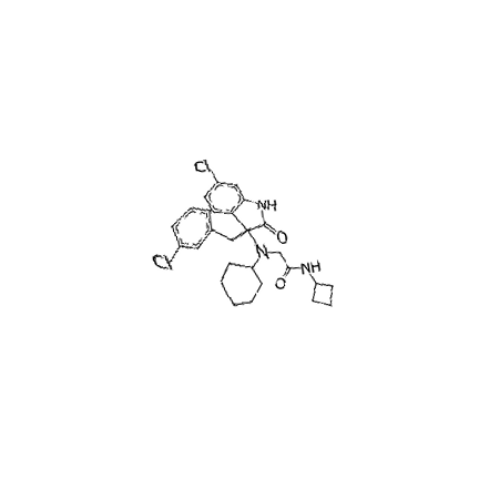 O=C(CN(C1CCCCC1)C1(Cc2cccc(Cl)c2)C(=O)Nc2cc(Cl)ccc21)NC1CCC1